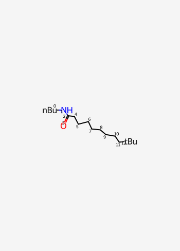 CCCCNC(=O)CCCCCCCCC(C)(C)C